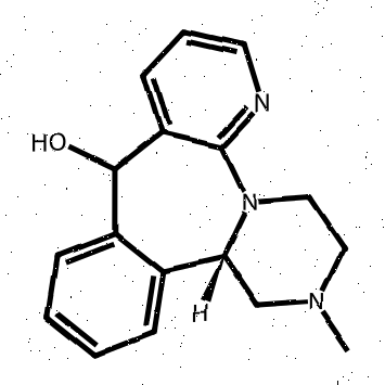 CN1CCN2c3ncccc3C(O)c3ccccc3[C@H]2C1